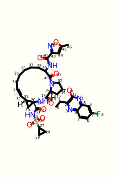 CCc1nc2ccc(F)cc2nc1O[C@@H]1C[C@H]2C(=O)N[C@]3(C(=O)NS(=O)(=O)C4CC4)C[C@H]3/C=C\CCCCCC(NC(=O)c3cc(C)on3)C(=O)N2C1